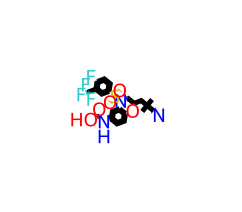 CC(C)(C#N)CC1CN(S(=O)(=O)c2ccc(F)c(C(F)(F)F)c2)c2cc(NC(=O)O)ccc2O1